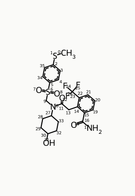 CSc1ccc(S(=O)(=O)CN(C(=O)Cc2c(C(N)=O)cccc2C(F)(F)F)C2CCC(O)CC2)cc1